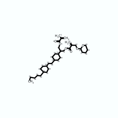 C=C(C)C(=O)OCC(COC(=O)C(=C)COC1CCCCO1)C1CCC(CCC2CCC(CCCCC)CC2)CC1